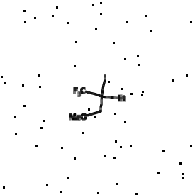 CCC(C)(COC)C(F)(F)F